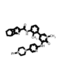 Cc1c(NC(=O)c2cc3c(s2)C2CCC3C2)cccc1-c1cc(Nc2ccc(N3CCN(C(C)C)CC3)cn2)c(=O)n(C)c1